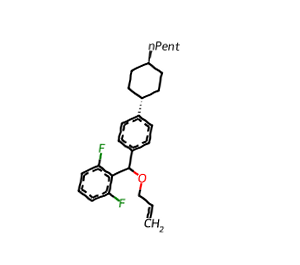 C=CCOC(c1ccc([C@H]2CC[C@H](CCCCC)CC2)cc1)c1c(F)cccc1F